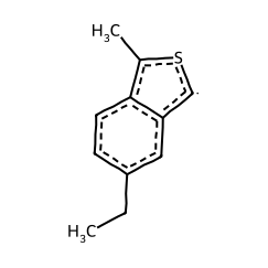 CCc1ccc2c(C)s[c]c2c1